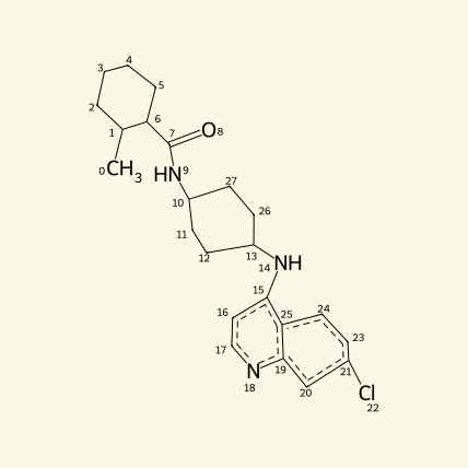 CC1CCCCC1C(=O)NC1CCC(Nc2ccnc3cc(Cl)ccc23)CC1